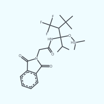 CC(C)C(NC(=O)CN1C(=O)c2ccccc2C1=O)(O[SiH](C)C)C(C(C)(C)C)C(F)(F)F